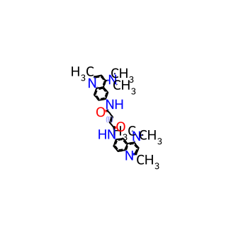 Cc1cc(N(C)C)c2cc(NC(=O)/C=C/C(=O)Nc3ccc4nc(C)cc(N(C)C)c4c3)ccc2n1